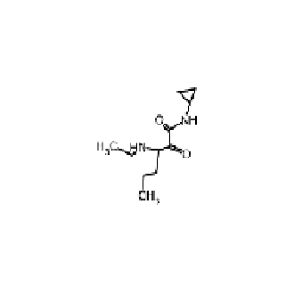 CCCC(NCC)C(=O)C(=O)NC1CC1